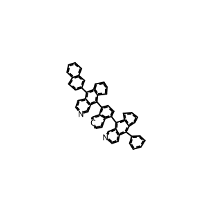 c1ccc(-c2c3ccccc3c(-c3ccc(-c4c5ccccc5c(-c5ccc6ccccc6c5)c5ccncc45)c4ccccc34)c3cnccc23)cc1